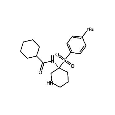 CC(C)(C)c1ccc(S(=O)(=O)[C@@]2(NC(=O)C3CCCCC3)CCCNC2)cc1